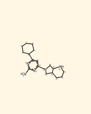 Nc1nc(C2CCCCC2)cc(N2CC3CCCNC3C2)n1